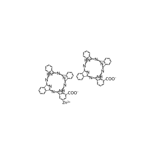 O=C([O-])c1cccc2c3nc4nc(nc5[nH]c(nc6nc(nc([nH]3)c12)-c1ccccc1-6)c1ccccc51)-c1ccccc1-4.O=C([O-])c1cccc2c3nc4nc(nc5[nH]c(nc6nc(nc([nH]3)c12)-c1ccccc1-6)c1ccccc51)-c1ccccc1-4.[Zn+2]